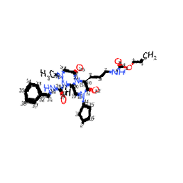 C=CCOC(=O)NCCC[C@H]1C(=O)N(C2CCCC2)C[C@H]2N1C(=O)CN(C)N2C(=O)NCc1ccccc1